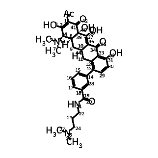 CC(=O)C1=C(O)[C@H](N(C)C)[C@@H]2C[C@@H]3Cc4c(-c5cccc(C(=O)NCCCN(C)C)c5)ccc(O)c4C(=O)C3=C(O)[C@]2(O)C1=O